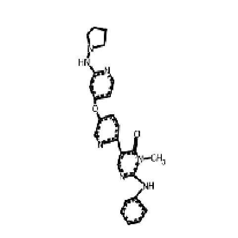 Cn1c(Nc2ccccc2)ncc(-c2ccc(Oc3ccnc(NN4CCCC4)c3)cn2)c1=O